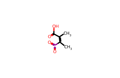 C/C(C(=O)O)=C(\C)I(=O)=O